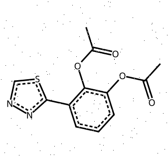 CC(=O)Oc1cccc(-c2nn[c]s2)c1OC(C)=O